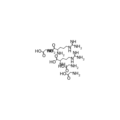 N=C(N)NCCCC(N)C(=O)O.N=C(N)NCCCC(N)C(=O)O.NCC(=O)O.NCC(=O)O.NCC(=O)O